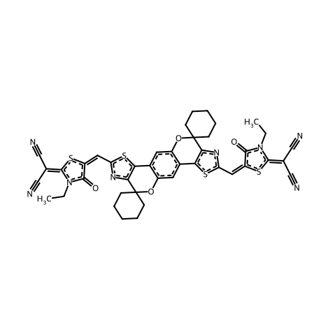 CCn1c(=C(C#N)C#N)s/c(=C/c2nc3c(s2)-c2cc4c(cc2OC32CCCCC2)-c2sc(/C=c3/sc(=C(C#N)C#N)n(CC)c3=O)nc2C2(CCCCC2)O4)c1=O